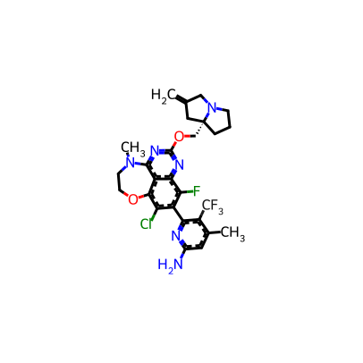 C=C1CN2CCC[C@@]2(COc2nc3c4c(c(Cl)c(-c5nc(N)cc(C)c5C(F)(F)F)c(F)c4n2)OCCN3C)C1